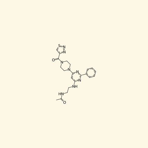 CC(=O)NCCNc1cc(N2CCN(C(=O)c3csnn3)CC2)nc(-c2ccccc2)n1